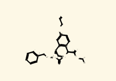 C=CCOc1ccc2c(c1)C1CN(C(=O)N1OCc1ccccc1)C2C(=O)OCC